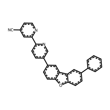 N#Cc1ccnc(-c2ccc(-c3ccc4oc5ccc(-c6ccccc6)cc5c4c3)cn2)c1